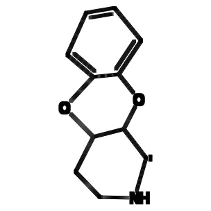 [C]1NCCC2Oc3ccccc3OC12